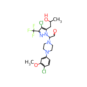 COc1cc(N2CCN(C(C=O)n3nc(C(F)(F)F)c(Cl)c3CC(C)O)CC2)ccc1Cl